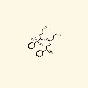 CCCC(=O)OC[C@@H](C)c1ccccc1.CCCOC(=O)C(C)(C)c1ccccc1